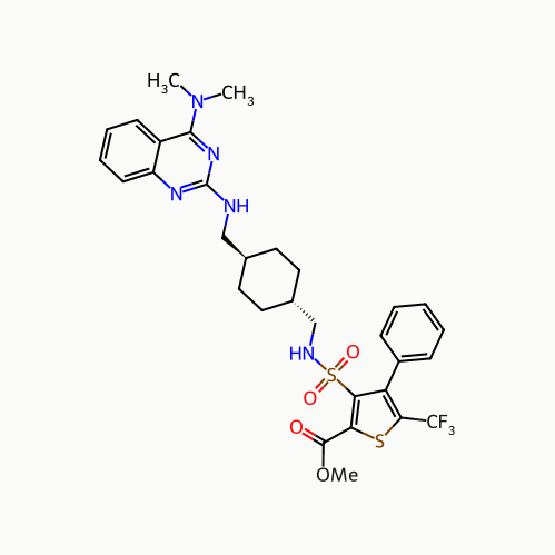 COC(=O)c1sc(C(F)(F)F)c(-c2ccccc2)c1S(=O)(=O)NC[C@H]1CC[C@H](CNc2nc(N(C)C)c3ccccc3n2)CC1